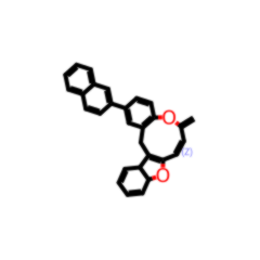 C=C1/C=C\C2=C(Cc3cc(-c4ccc5ccccc5c4)ccc3O1)C1C=CC=CC1O2